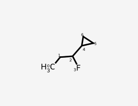 CCC(F)C1CC1